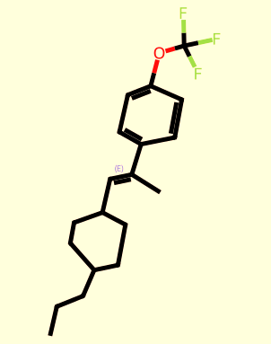 CCCC1CCC(/C=C(\C)c2ccc(OC(F)(F)F)cc2)CC1